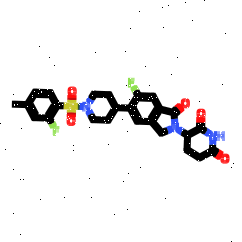 Cc1ccc(S(=O)(=O)N2CCC(c3cc4c(cc3F)C(=O)N(C3CCC(=O)NC3=O)C4)CC2)c(F)c1